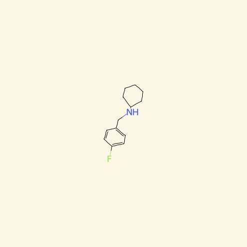 Fc1ccc(CNC2CCCCC2)cc1